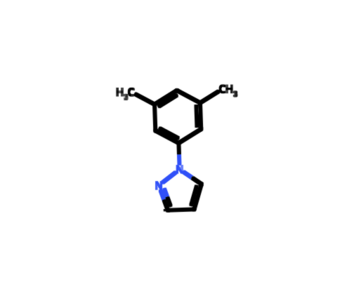 Cc1cc(C)cc(-n2cc[c]n2)c1